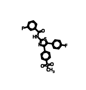 CS(=O)(=O)c1ccc(-c2nc(NC(=O)c3cccc(F)c3)sc2-c2ccc(F)cc2)cc1